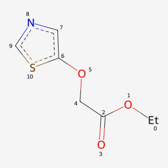 CCOC(=O)COc1cncs1